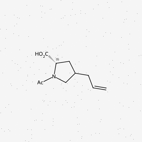 C=CCC1C[C@@H](C(=O)O)N(C(C)=O)C1